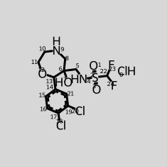 Cl.O=S(=O)(NCC1(O)CNCCOC1c1ccc(Cl)c(Cl)c1)C(F)F